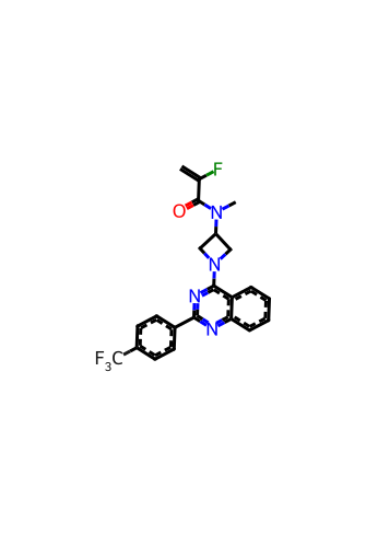 C=C(F)C(=O)N(C)C1CN(c2nc(-c3ccc(C(F)(F)F)cc3)nc3ccccc23)C1